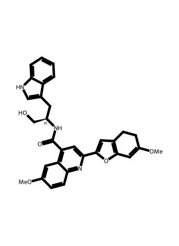 COC1=Cc2oc(-c3cc(C(=O)N[C@@H](CO)Cc4c[nH]c5ccccc45)c4cc(OC)ccc4n3)cc2CC1